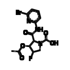 CC(=O)OC1C(F)CN(C(=O)O)C1C(=O)Nc1cccc(Br)n1